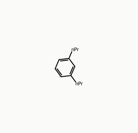 CCCc1[c]ccc(CCC)c1